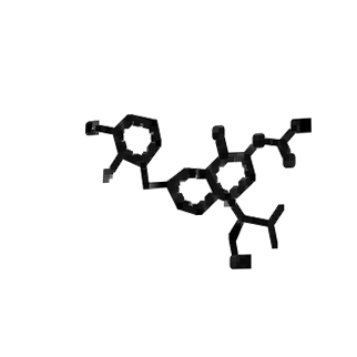 CC(C)[C@@H](CO)n1cc(OC(=O)O)c(=O)c2cc(Cc3cccc(Cl)c3F)ccc21